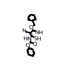 N#C/C(C(=N)OCc1ccccc1)=C(/S)NC(=O)Oc1ccccc1